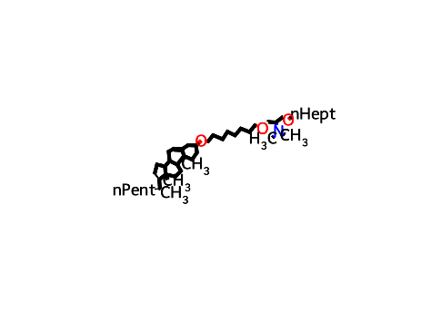 CCCCCCCOCC(COCCCCCCCCOC1CCC2(C)C(=CCC3C2CCC2(C)C3CC[C@@H]2[C@H](C)CCCCC)C1)N(C)C